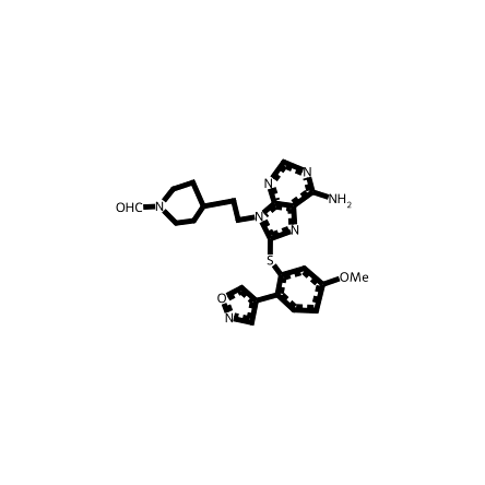 COc1ccc(-c2cnoc2)c(Sc2nc3c(N)ncnc3n2CCC2CCN(C=O)CC2)c1